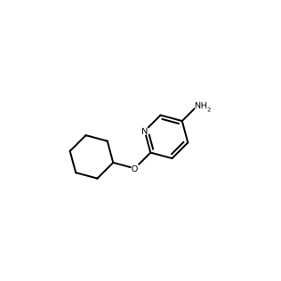 Nc1ccc(OC2CCCCC2)nc1